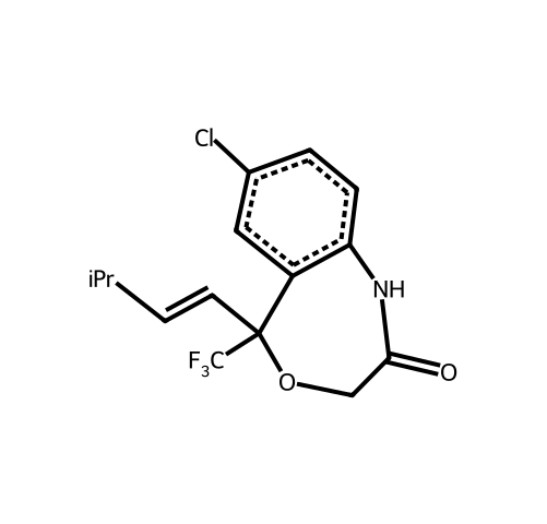 CC(C)/C=C/C1(C(F)(F)F)OCC(=O)Nc2ccc(Cl)cc21